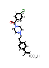 CC(=CC(=O)O)c1ccc(CCN2CCN(C(=O)c3ccc(Cl)cc3)CC2)cc1